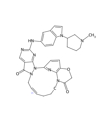 CN1CCCC(n2ccc3cc(Nc4ncc5c(=O)n6n(c5n4)-c4ccc5c(n4)N(CCC/C=C\C6)C(=O)CO5)ccc32)C1